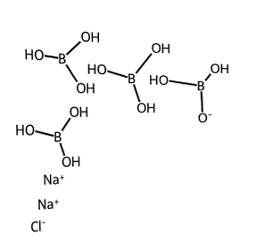 OB(O)O.OB(O)O.OB(O)O.[Cl-].[Na+].[Na+].[O-]B(O)O